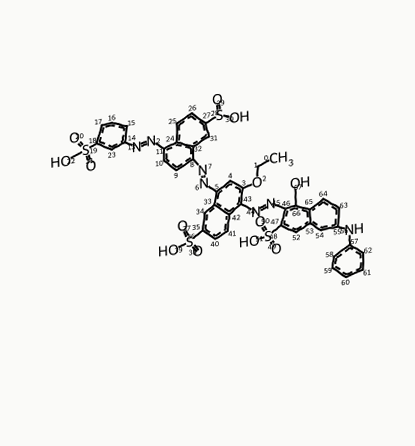 CCOc1cc(N=Nc2ccc(N=Nc3cccc(S(=O)(=O)O)c3)c3ccc(S(=O)O)cc23)c2cc(S(=O)(=O)O)ccc2c1N=Nc1c(S(=O)(=O)O)cc2cc(Nc3ccccc3)ccc2c1O